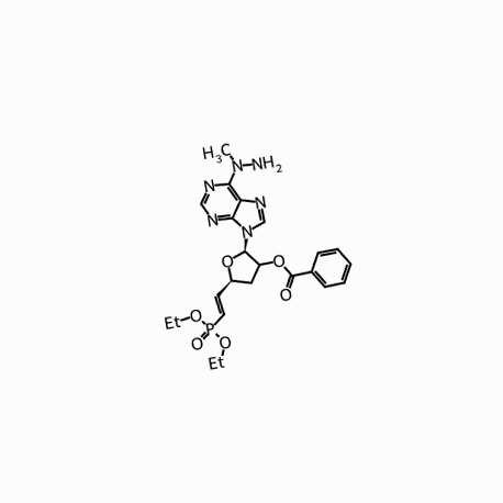 CCOP(=O)(/C=C/[C@@H]1CC(OC(=O)c2ccccc2)[C@H](n2cnc3c(N(C)N)ncnc32)O1)OCC